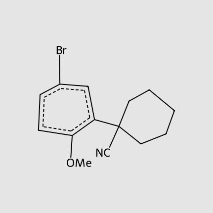 COc1ccc(Br)cc1C1(C#N)CCCCC1